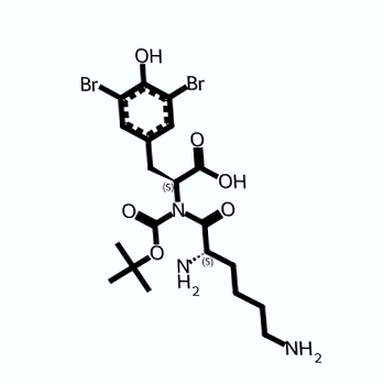 CC(C)(C)OC(=O)N(C(=O)[C@@H](N)CCCCN)[C@@H](Cc1cc(Br)c(O)c(Br)c1)C(=O)O